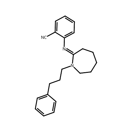 N#Cc1ccccc1N=C1CCCCCN1CCCc1ccccc1